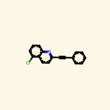 Clc1cccc2nc(C#Cc3ccccc3)ccc12